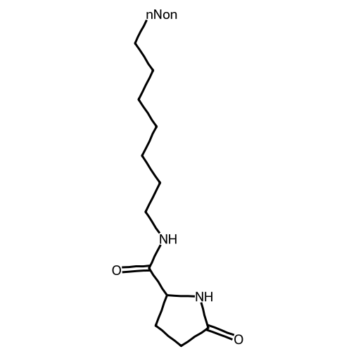 CCCCCCCCCCCCCCCCNC(=O)C1CCC(=O)N1